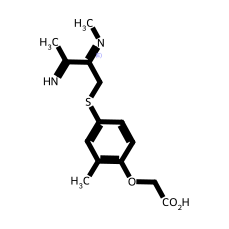 C/N=C(/CSc1ccc(OCC(=O)O)c(C)c1)C(C)=N